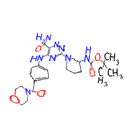 CC(C)(C)OC(=O)NC1CCCN(c2nnc(C(N)=O)c(Nc3ccc(C(=O)N4CCOCC4)cc3)n2)C1